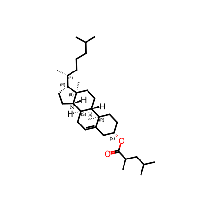 CC(C)CCC[C@@H](C)[C@H]1CC[C@H]2[C@@H]3CC=C4C[C@@H](OC(=O)C(C)CC(C)C)CC[C@]4(C)[C@H]3CC[C@]12C